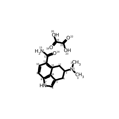 CN(C)C1Cc2c[nH]c3ccc(C(N)=O)c(c23)C1.O=C(O)C(=O)O